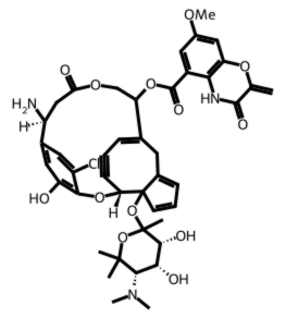 C=C1Oc2cc(OC)cc(C(=O)OC3COC(=O)C[C@H](N)c4cc(O)c(c(Cl)c4)O[C@@H]4C#C/C=C/3CC3=CC=CC34OC3(C)OC(C)(C)[C@@H](N(C)C)[C@@H](O)[C@H]3O)c2NC1=O